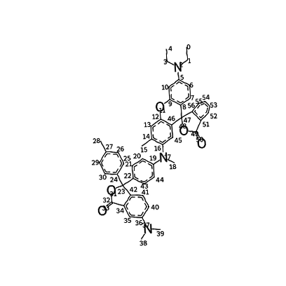 CCN(CC)c1ccc2c(c1)Oc1cc(C)c(N(C)c3ccc(C4(c5ccc(C)cc5)OC(=O)c5cc(N(C)C)ccc54)cc3)cc1C21OC(=O)c2ccccc21